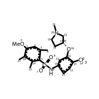 COc1cc(C)c(S(=O)(=O)Nc2ccc(C(F)(F)F)c(O[C@@H]3CCN(C)C3)c2)c(C)c1C